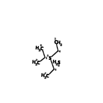 CCC.CCSCC.S